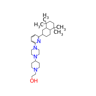 CC1(C)CCC(C)(C)C2CC(c3cccc(N4CCN(C5CCN(CCO)CC5)CC4)n3)CCC21